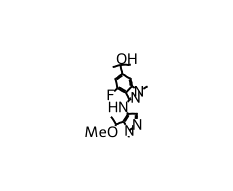 COC(C)c1c(Nc2nn(C)c3cc(C(C)(C)O)cc(F)c23)cnn1C